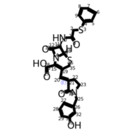 O=C(CSc1ccccc1)N[C@@H]1C(=O)N2C(C(=O)O)=C(/C=C3\CCN(Cc4cccc(O)c4)C3=O)CS[C@H]12